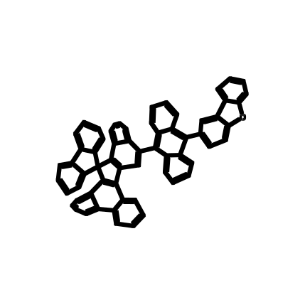 c1ccc2c(c1)-c1ccccc1C21c2c(cc(-c3c4ccccc4c(-c4ccc5oc6ccccc6c5c4)c4ccccc34)c3ccccc23)-c2c1c1ccccc1c1ccccc21